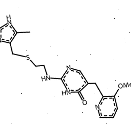 COc1cccnc1Cc1cnc(NCCSCc2nc[nH]c2C)[nH]c1=O